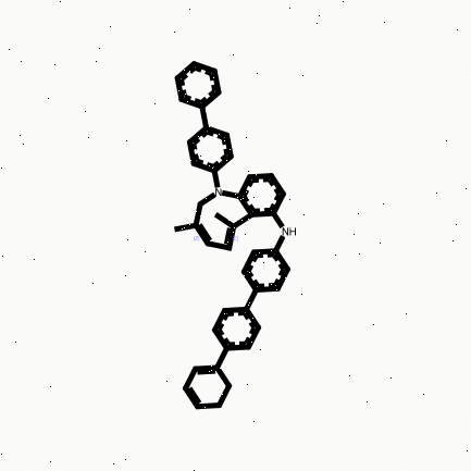 C/C1=C/C=C(\C)c2c(Nc3ccc(-c4ccc(C5=CC=CCC5)cc4)cc3)cccc2N(c2ccc(-c3ccccc3)cc2)C1